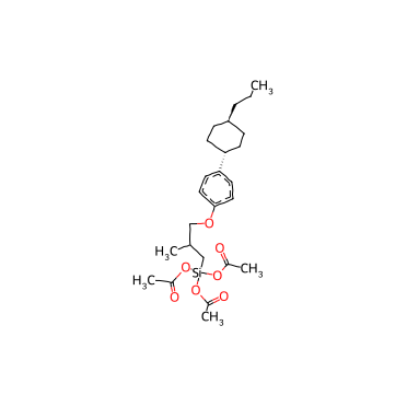 CCC[C@H]1CC[C@H](c2ccc(OCC(C)C[Si](OC(C)=O)(OC(C)=O)OC(C)=O)cc2)CC1